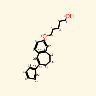 OCCCCCOc1ccc2c(c1)CCCC(c1ccccc1)=C2